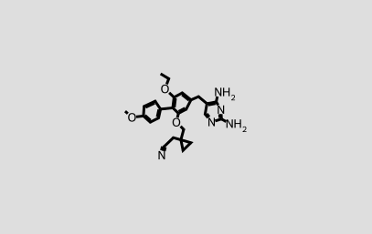 CCOc1cc(Cc2cnc(N)nc2N)cc(OCC2(CC#N)CC2)c1-c1ccc(OC)cc1